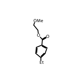 CCc1ccc(C(=O)OCCOC)cc1